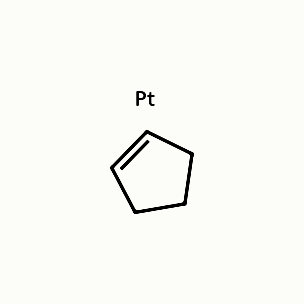 C1=CCCC1.[Pt]